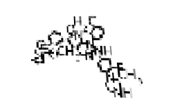 Cc1ccccc1Cn1c(=O)c(-c2cccc(S(=O)(=O)c3cccs3)c2C)cc2cnc(Nc3ccc(N4CCNCC4C)c(F)c3)nc21